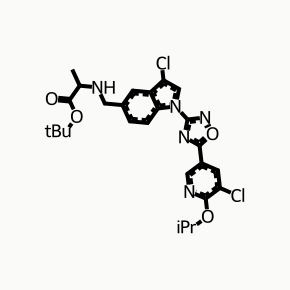 CC(C)Oc1ncc(-c2nc(-n3cc(Cl)c4cc(CNC(C)C(=O)OC(C)(C)C)ccc43)no2)cc1Cl